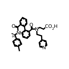 Cc1ccc([C@@H](C)NC(=O)c2ccccc2-c2ccccc2C(=O)N(CCC(=O)O)CCc2ccncc2)cc1